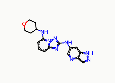 c1cc(NC2CCOCC2)n2nc(Nc3cnc4cn[nH]c4c3)nc2c1